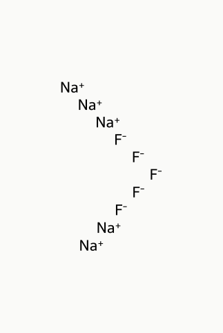 [F-].[F-].[F-].[F-].[F-].[Na+].[Na+].[Na+].[Na+].[Na+]